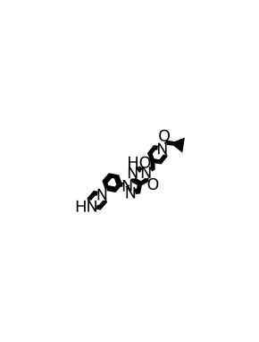 O=C(C1CC1)N1CCC(O)(Cn2cnc3c(cnn3-c3cccc(N4CCNCC4)c3)c2=O)CC1